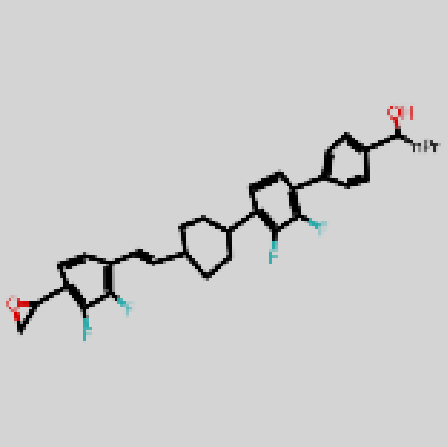 CCCC(O)c1ccc(-c2ccc(C3CCC(/C=C/c4ccc(C5CO5)c(F)c4F)CC3)c(F)c2F)cc1